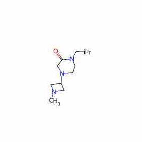 CC(C)CN1CCN(C2CN(C)C2)CC1=O